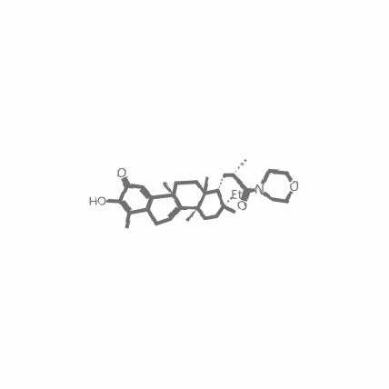 CC[C@]1(C)CC[C@]2(C)C3=CCC4C(=CC(=O)C(O)=C4C)[C@]3(C)CCC2(C)[C@@H]1C[C@H](C)C(=O)N1CCOCC1